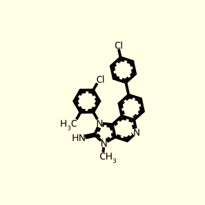 Cc1ccc(Cl)cc1-n1c(=N)n(C)c2cnc3ccc(-c4ccc(Cl)cc4)cc3c21